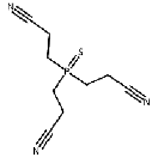 N#CCCP(=S)(CCC#N)CCC#N